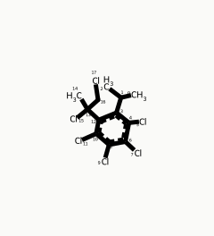 CC(C)c1c(Cl)c(Cl)c(Cl)c(Cl)c1C(C)(Cl)CCl